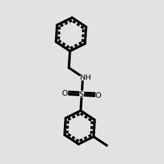 Cc1cccc(S(=O)(=O)NCc2ccccc2)c1